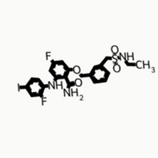 CCNS(=O)(=O)Cc1cccc(COc2cc(F)cc(Nc3ccc(I)cc3F)c2C(N)=O)c1